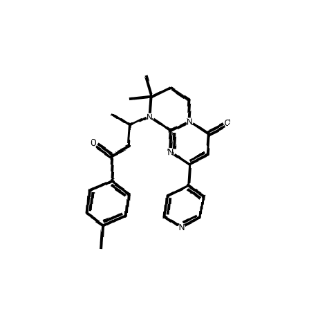 Cc1ccc(C(=O)CC(C)N2c3nc(-c4ccncc4)cc(=O)n3CCC2(C)C)cc1